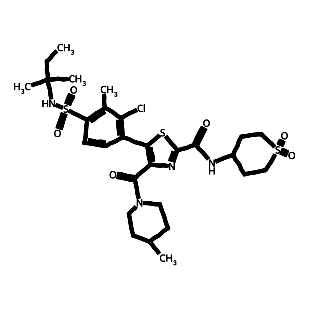 CCC(C)(C)NS(=O)(=O)c1ccc(-c2sc(C(=O)NC3CCS(=O)(=O)CC3)nc2C(=O)N2CCC(C)CC2)c(Cl)c1C